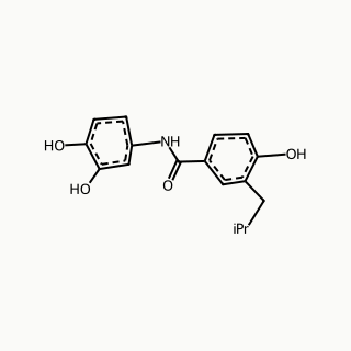 CC(C)Cc1cc(C(=O)Nc2ccc(O)c(O)c2)ccc1O